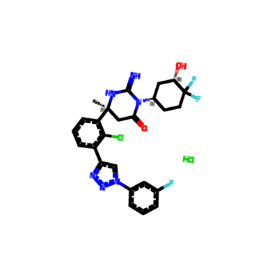 C[C@@]1(c2cccc(-c3cn(-c4cccc(F)c4)nn3)c2Cl)CC(=O)N([C@H]2CCC(F)(F)[C@@H](O)C2)C(=N)N1.Cl